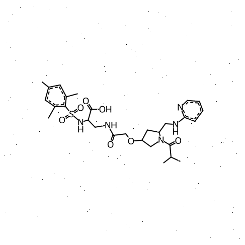 Cc1cc(C)c(S(=O)(=O)NC(CNC(=O)COC2CC(CNc3ccccn3)N(C(=O)C(C)C)C2)C(=O)O)c(C)c1